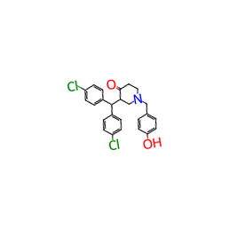 O=C1CCN(Cc2ccc(O)cc2)CC1C(c1ccc(Cl)cc1)c1ccc(Cl)cc1